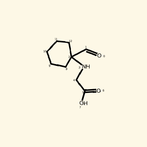 O=CC1(NCC(=O)O)CCCCC1